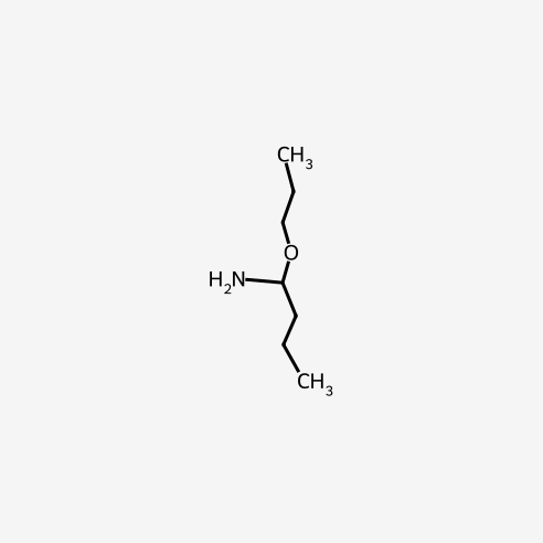 CCCOC(N)CCC